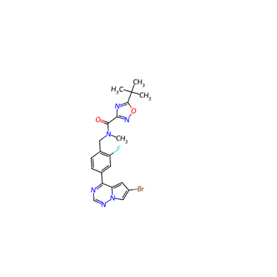 CN(Cc1ccc(-c2ncnn3cc(Br)cc23)cc1F)C(=O)c1noc(C(C)(C)C)n1